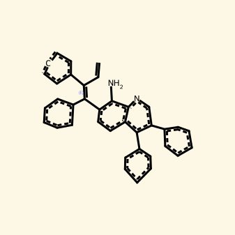 C=C/C(=C(/c1ccccc1)c1ccc2c(-c3ccccc3)c(-c3ccccc3)cnc2c1N)c1ccccc1